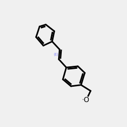 [O]Cc1ccc(/C=C/c2ccccc2)cc1